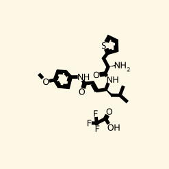 COc1ccc(NC(=O)/C=C/[C@H](CC(C)C)NC(=O)[C@@H](N)Cc2cccs2)cc1.O=C(O)C(F)(F)F